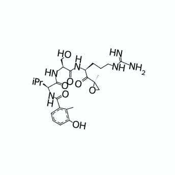 Cc1c(O)cccc1C(=O)N[C@H](C(=O)N[C@@H](CO)C(=O)N[C@@H](CCCNC(=N)N)C(=O)[C@@]1(C)CO1)C(C)C